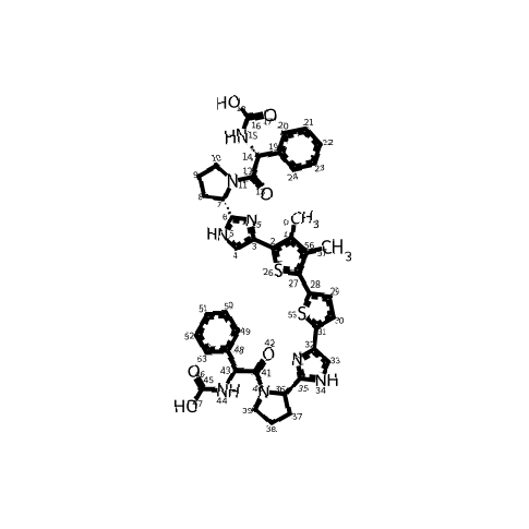 Cc1c(-c2c[nH]c([C@@H]3CCCN3C(=O)[C@H](NC(=O)O)c3ccccc3)n2)sc(-c2ccc(-c3c[nH]c(C4CCCN4C(=O)C(NC(=O)O)c4ccccc4)n3)s2)c1C